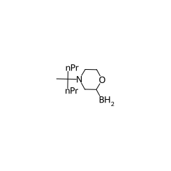 BC1CN(C(C)(CCC)CCC)CCO1